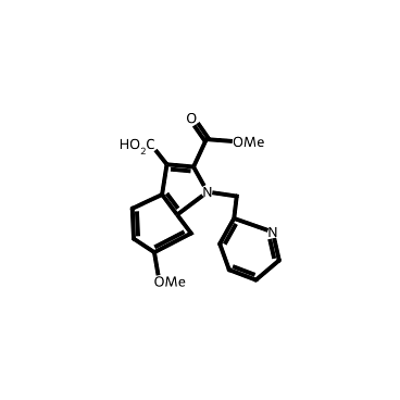 COC(=O)c1c(C(=O)O)c2ccc(OC)cc2n1Cc1ccccn1